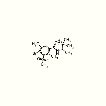 Cc1cc(C(=O)NC(C)C(C)(C)C)c(C)c(S(N)(=O)=O)c1Br